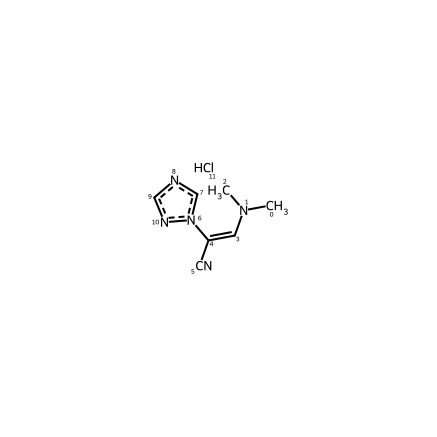 CN(C)/C=C(/C#N)n1cncn1.Cl